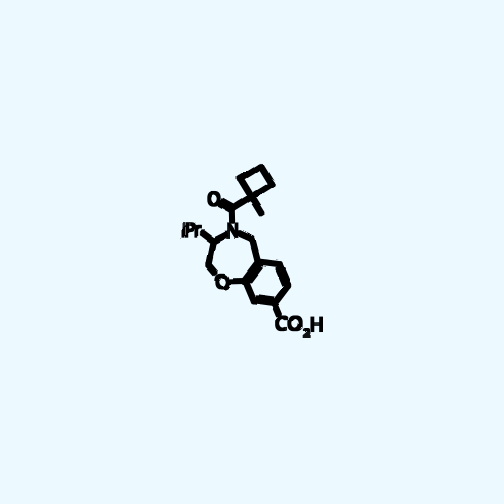 CC(C)C1COc2cc(C(=O)O)ccc2CN1C(=O)C1(C)CCC1